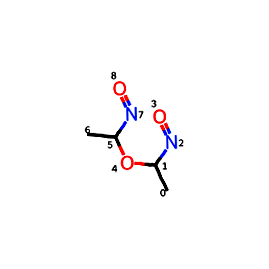 CC(N=O)OC(C)N=O